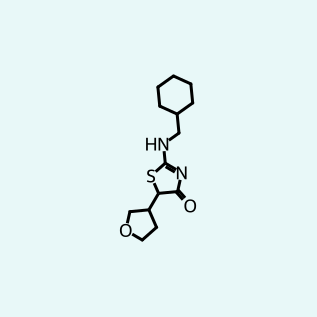 O=C1N=C(NCC2CCCCC2)SC1C1CCOC1